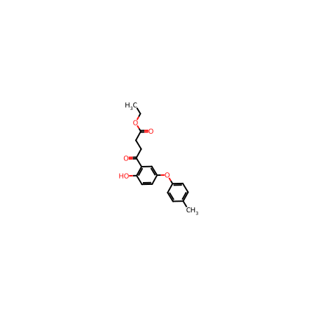 CCOC(=O)CCC(=O)c1cc(Oc2ccc(C)cc2)ccc1O